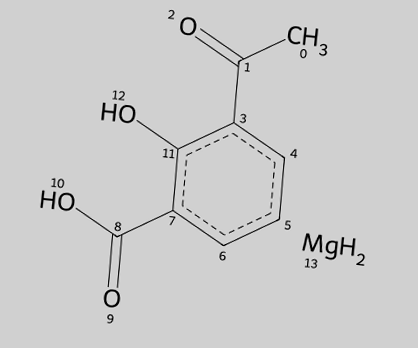 CC(=O)c1cccc(C(=O)O)c1O.[MgH2]